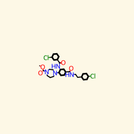 COC(=O)N1CCCN(c2ccc(C(=O)NCCc3ccc(Cl)cc3)cc2NC(=O)c2cccc(Cl)c2)CC1